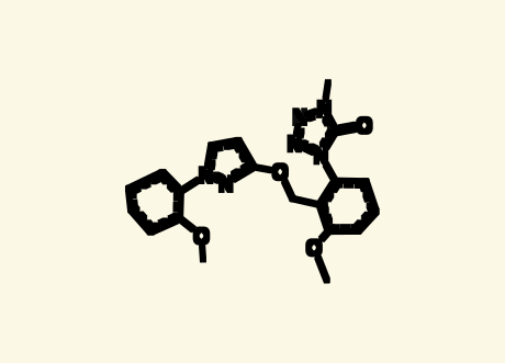 COc1ccccc1-n1ccc(OCc2c(OC)cccc2-n2nnn(C)c2=O)n1